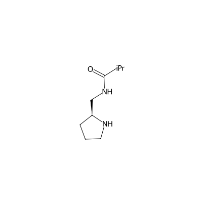 CC(C)C(=O)NC[C@@H]1CCCN1